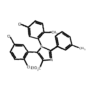 CCOC(=O)c1nc(-c2cccc(C)c2)n(-c2cc(Cl)ccc2C)c1-c1cc(Cl)ccc1Cl